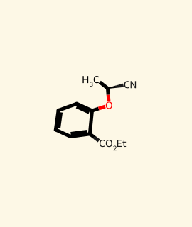 CCOC(=O)c1ccccc1O[C@@H](C)C#N